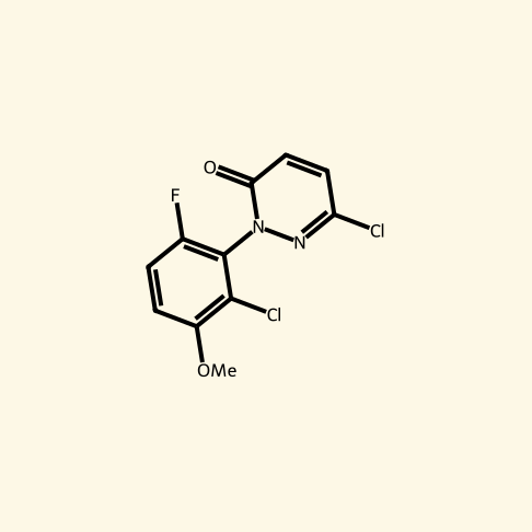 COc1ccc(F)c(-n2nc(Cl)ccc2=O)c1Cl